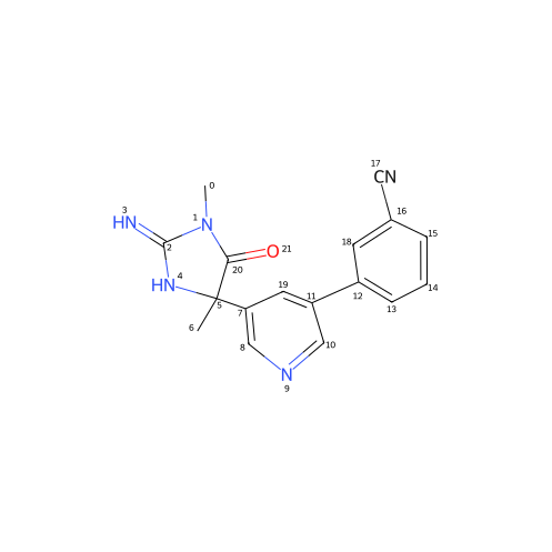 CN1C(=N)NC(C)(c2cncc(-c3cccc(C#N)c3)c2)C1=O